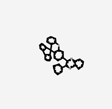 c1ccc(-c2nc3ccccc3nc2-c2ccc3c(c2)Sc2ccccc2C32c3ccccc3-c3ccccc32)cc1